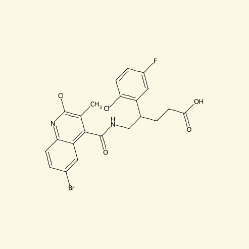 Cc1c(Cl)nc2ccc(Br)cc2c1C(=O)NCC(CCC(=O)O)c1cc(F)ccc1Cl